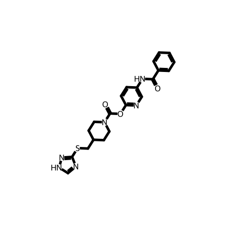 O=C(Nc1ccc(OC(=O)N2CCC(CSc3nc[nH]n3)CC2)nc1)c1ccccc1